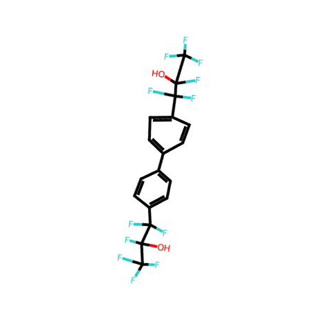 OC(F)(C(F)(F)F)C(F)(F)c1ccc(-c2ccc(C(F)(F)C(O)(F)C(F)(F)F)cc2)cc1